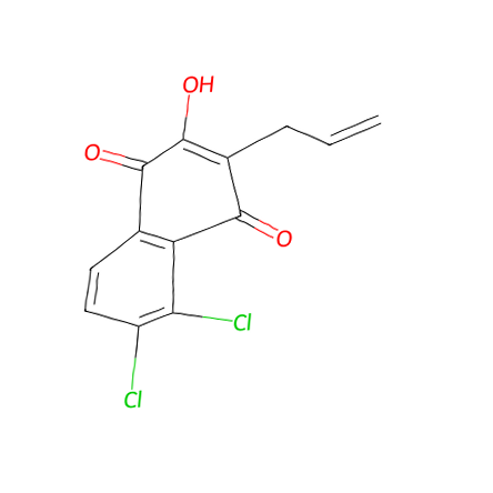 C=CCC1=C(O)C(=O)c2ccc(Cl)c(Cl)c2C1=O